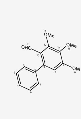 COc1cc(-c2ccccc2)c(C=O)c(OC)c1OC